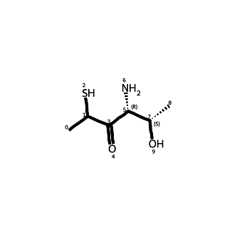 CC(S)C(=O)[C@H](N)[C@H](C)O